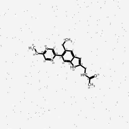 CCc1cc2cc(CNC(C)=O)[nH]c2cc1-c1cnc(OC)cn1